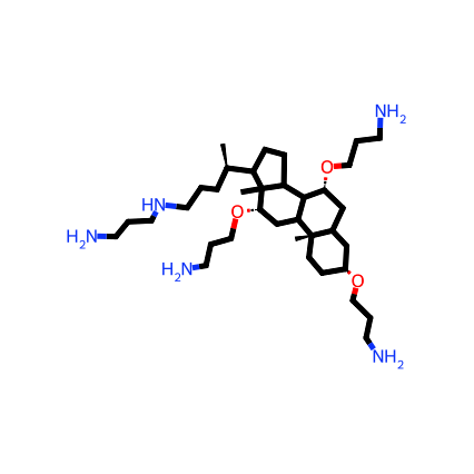 C[C@H](CCCNCCCN)C1CCC2C3C(C[C@H](OCCCN)C21C)[C@@]1(C)CC[C@@H](OCCCN)CC1C[C@H]3OCCCN